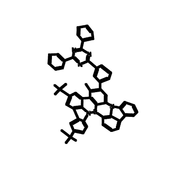 Cc1c(-c2cccc(-c3nc(-c4ccccc4)nc(-c4ccccc4)n3)c2)cc2c3c1-c1cc(C(C)(C)C)cc4c5cc(C(C)(C)C)ccc5n(c14)B3c1cccc3c4ccccc4n-2c13